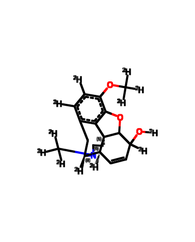 [2H]OC1([2H])C=C[C@]2([2H])[C@@]34CCN(C([2H])([2H])[2H])[C@]2([2H])Cc2c([2H])c([2H])c(OC([2H])([2H])[2H])c(c23)OC14